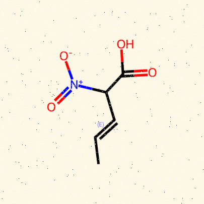 C/C=C/C(C(=O)O)[N+](=O)[O-]